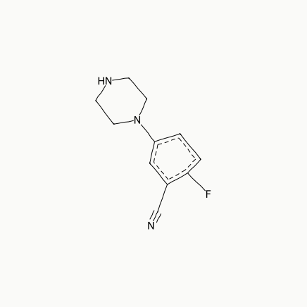 N#Cc1cc(N2CCNCC2)ccc1F